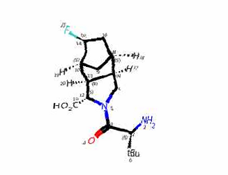 CC(C)(C)[C@H](N)C(=O)N1C[C@@H]2[C@H]3C[C@@H]([C@@H]2[C@H]1C(=O)O)[C@@H](F)C3